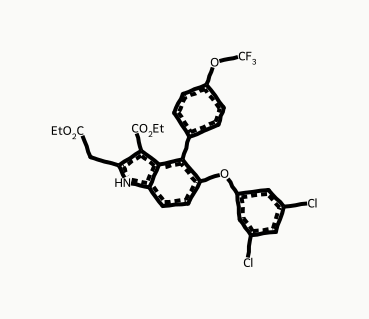 CCOC(=O)Cc1[nH]c2ccc(Oc3cc(Cl)cc(Cl)c3)c(-c3ccc(OC(F)(F)F)cc3)c2c1C(=O)OCC